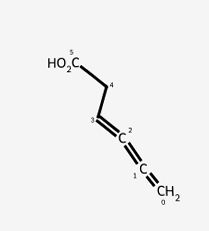 C=C=C=CCC(=O)O